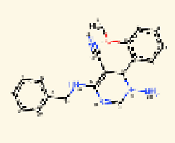 COc1ccccc1C1C(C#N)=C(NCc2ccccc2)N=CN1N